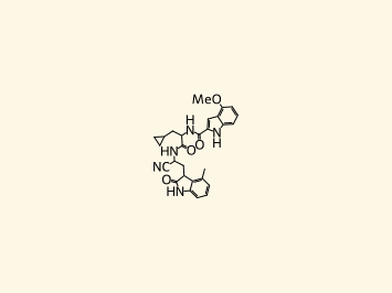 COc1cccc2[nH]c(C(=O)NC(CC3CC3)C(=O)NC(C#N)CC3C(=O)Nc4cccc(C)c43)cc12